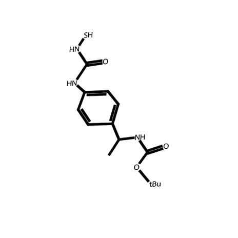 CC(NC(=O)OC(C)(C)C)c1ccc(NC(=O)NS)cc1